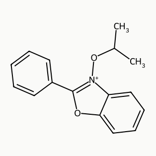 CC(C)O[n+]1c(-c2ccccc2)oc2ccccc21